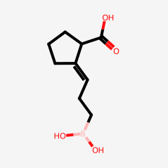 O=C(O)C1CCC/C1=C\CCB(O)O